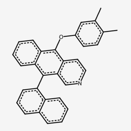 Cc1ccc(Oc2c3ccccc3c(-c3cccc4ccccc34)c3cnccc23)cc1C